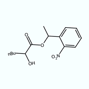 CCCCC(O)C(=O)OC(C)c1ccccc1[N+](=O)[O-]